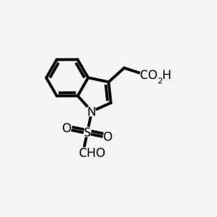 O=CS(=O)(=O)n1cc(CC(=O)O)c2ccccc21